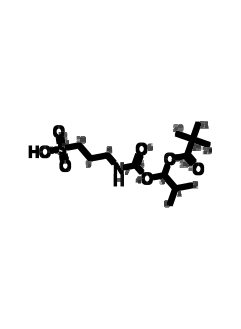 CC(C)C(OC(=O)NCCCS(=O)(=O)O)OC(=O)C(C)(C)C